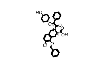 O=C(O)[C@H]1Cc2c(ccc(Cl)c2OCc2ccccc2)CN1C(=O)[C@@H](O[C@H]1CC[C@@H](O)CC1)c1ccccc1